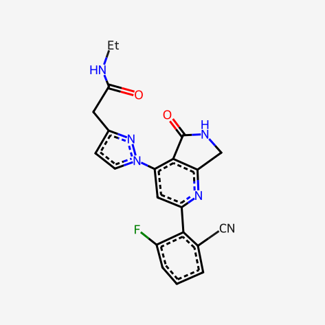 CCNC(=O)Cc1ccn(-c2cc(-c3c(F)cccc3C#N)nc3c2C(=O)NC3)n1